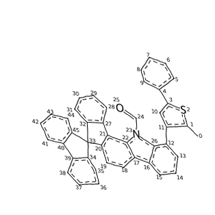 Cc1sc(-c2ccccc2)cc1-c1cccc2c3ccc4c(c3n(C=O)c12)-c1ccccc1C41c2ccccc2-c2ccccc21